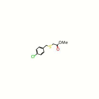 COC(=O)CSCc1ccc(Cl)cc1